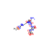 CC[C@@]1(O)C(=O)OCc2c1cc1n(c2=O)Cc2c-1nc1cc3c(cc1c2CNC(=O)CNC(=O)[C@H](CCCCN)NC(=O)[C@@H](NC(=O)CCCCCn1cc(-c2cnc(S(C)(=O)=O)nc2)nn1)C(C)C)OCO3